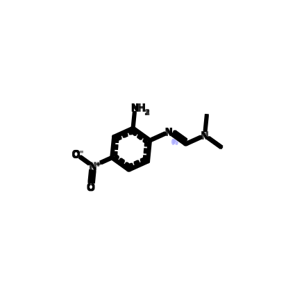 CN(C)/C=N/c1ccc([N+](=O)[O-])cc1N